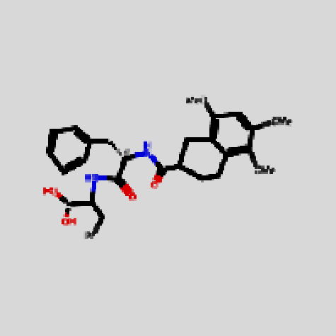 COc1cc(OC)c(OC)c2c1CC(C(=O)N[C@@H](Cc1ccccc1)C(=O)NC(CC(C)C)B(O)O)CC2